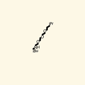 CCC(C)CNCCOCCOCCOCCCC(C)C